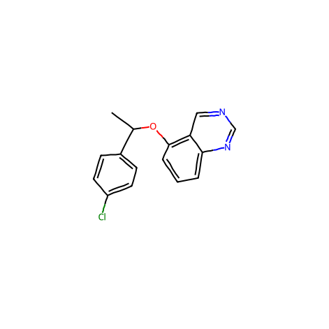 CC(Oc1cccc2ncncc12)c1ccc(Cl)cc1